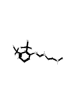 COCCOCOc1[c]ccc(C(C)(C)C)c1C(C)(C)C